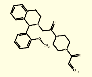 C=CC(=O)N1CCN(C(=O)CN2CCc3ccccc3C2c2ccccc2OC)CC1